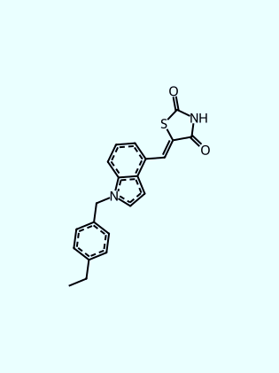 CCc1ccc(Cn2ccc3c(C=C4SC(=O)NC4=O)cccc32)cc1